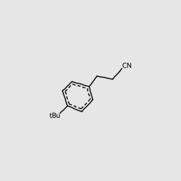 CC(C)(C)c1ccc(CCC#N)cc1